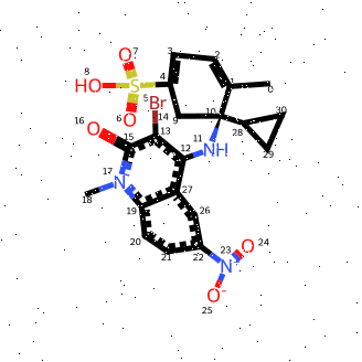 CC1=CC=C(S(=O)(=O)O)C[C@@]1(Nc1c(Br)c(=O)n(C)c2ccc([N+](=O)[O-])cc12)C1CC1